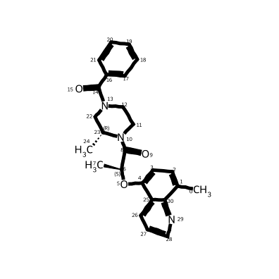 Cc1ccc(O[C@@H](C)C(=O)N2CCN(C(=O)c3ccccc3)C[C@H]2C)c2cccnc12